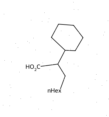 CCCCCCCC(C(=O)O)C1CCCCC1